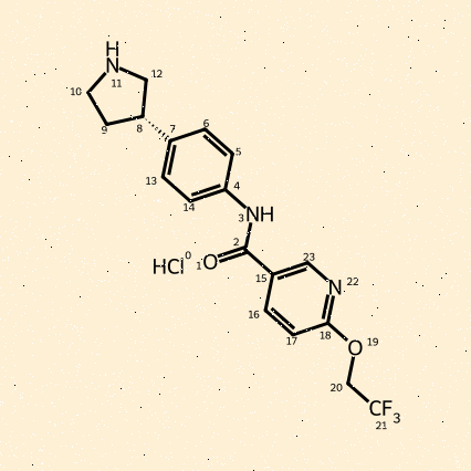 Cl.O=C(Nc1ccc([C@@H]2CCNC2)cc1)c1ccc(OCC(F)(F)F)nc1